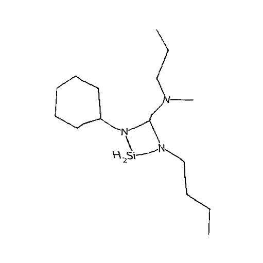 CCCCN1[SiH2]N(C2CCCCC2)C1N(C)CCC